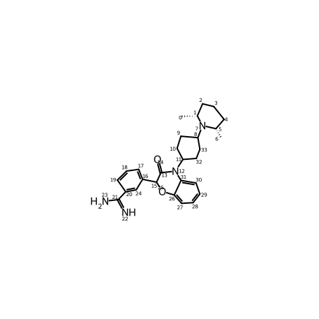 C[C@@H]1CCC[C@H](C)N1C1CCC(N2C(=O)C(c3cccc(C(=N)N)c3)Oc3ccccc32)CC1